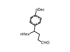 CCCCCCCCCCc1ccc(C(CCC=O)CCCCCC)cc1